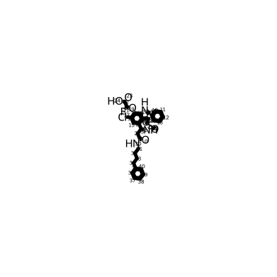 O=C(CC(NS(=O)(=O)c1ccccc1)c1cc(Cl)c(OC(F)C(=O)O)c2[nH]ncc12)NCCCCc1ccccc1